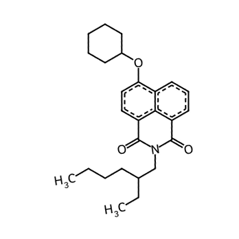 CCCCC(CC)CN1C(=O)c2cccc3c(OC4CCCCC4)ccc(c23)C1=O